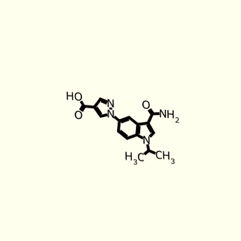 CC(C)n1cc(C(N)=O)c2cc(-n3cc(C(=O)O)cn3)ccc21